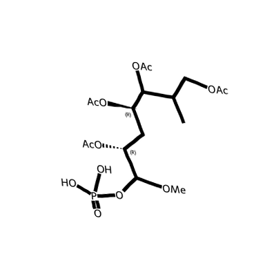 COC(OP(=O)(O)O)[C@@H](C[C@@H](OC(C)=O)C(OC(C)=O)C(C)COC(C)=O)OC(C)=O